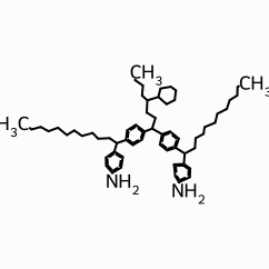 CCCCCCCCCCCC(c1ccc(N)cc1)c1ccc(C(CCC(CCCC)C2CCCCC2)c2ccc(C(CCCCCCCCCCC)c3ccc(N)cc3)cc2)cc1